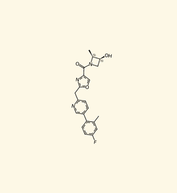 Cc1cc(F)ccc1-c1ccc(Cc2nc(C(=O)N3C[C@H](O)[C@@H]3C)co2)nc1